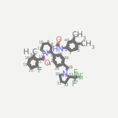 Cc1ccc(NC(=O)[C@H]2CCCN(C(=O)c3c(C)cccc3F)C2c2ccc(CN3CCCC3C(F)(F)F)cc2)cc1C